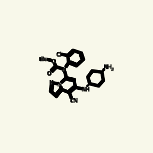 CC(C)(C)OC(=O)N(c1ccccc1Cl)c1cc(N[C@H]2CC[C@H](N)CC2)c(C#N)c2ccnn12